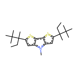 CCC(C)(c1cc2c(s1)c1sc(C(C)(CC)C(C)(C)C)cc1n2C)C(C)(C)C